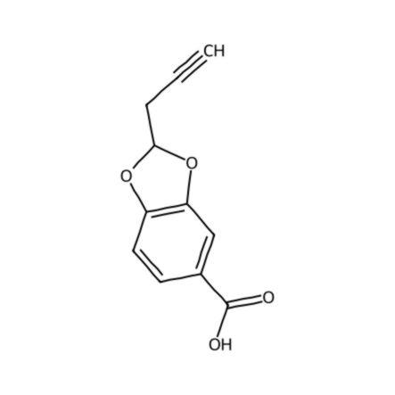 C#CCC1Oc2ccc(C(=O)O)cc2O1